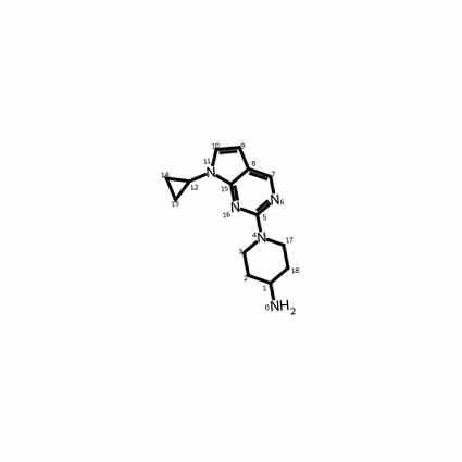 NC1CCN(c2ncc3ccn(C4CC4)c3n2)CC1